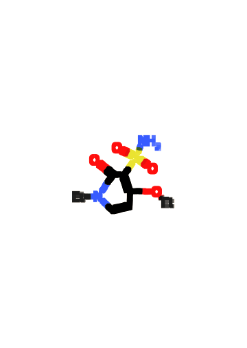 CCOc1ccn(CC)c(=O)c1S(N)(=O)=O